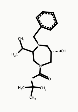 CC(C)C1CN(C(=O)OC(C)(C)C)C[C@@H](O)CN1Cc1ccccc1